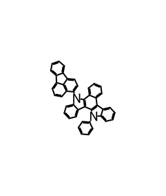 c1ccc(-n2c3ccccc3c3c4ccccc4c4c(c5ccccc5n4-c4ccc5c6c(cccc46)-c4ccccc4-5)c32)cc1